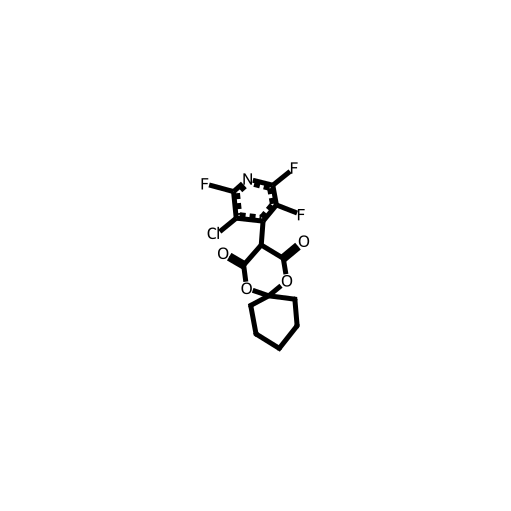 O=C1OC2(CCCCC2)OC(=O)C1c1c(F)c(F)nc(F)c1Cl